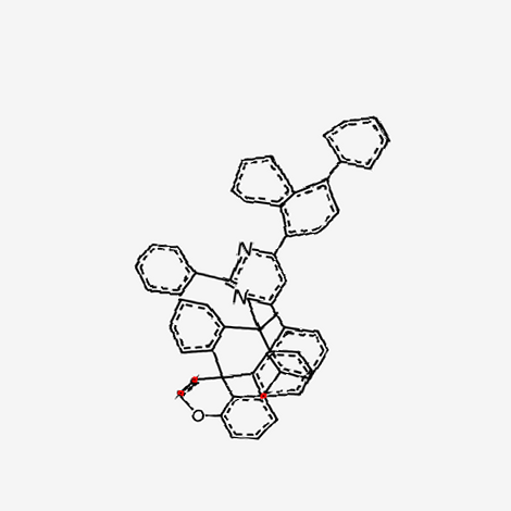 CC1(C)c2ccccc2C2(c3ccccc3Oc3cccc(-c4cccc(-c5cc(-c6ccc(-c7ccccc7)c7ccccc67)nc(-c6ccccc6)n5)c4)c32)c2ccccc21